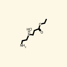 CCOC(=O)CCNCCN.Cl